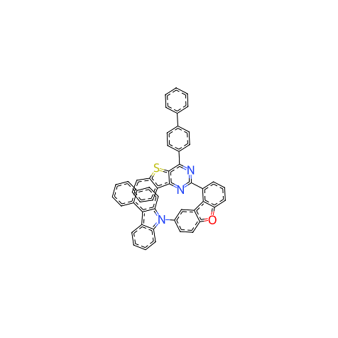 c1ccc(-c2ccc(-c3nc(-c4cccc5oc6ccc(-n7c8ccccc8c8c9ccccc9ccc87)cc6c45)nc4c3sc3ccccc34)cc2)cc1